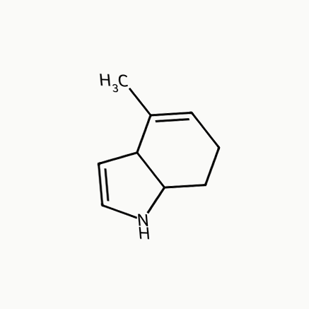 CC1=CCCC2NC=CC12